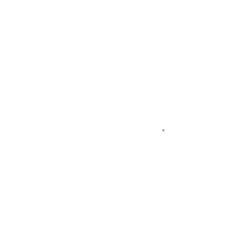 CC(=O)N1CCc2cc(S(=O)(=O)NC(=O)Nc3ccc(Cl)cc3)ccc21